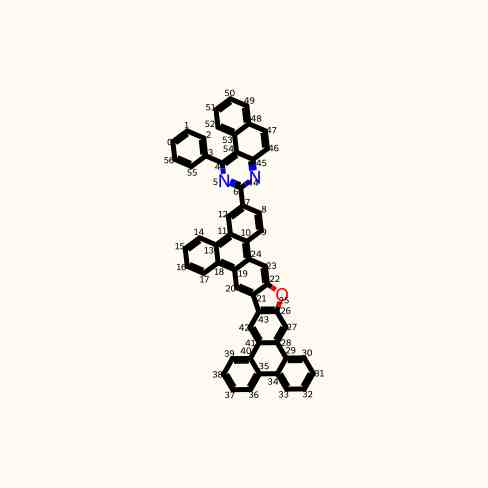 c1ccc(-c2nc(-c3ccc4c(c3)c3ccccc3c3cc5c(cc43)oc3cc4c6ccccc6c6ccccc6c4cc35)nc3ccc4ccccc4c23)cc1